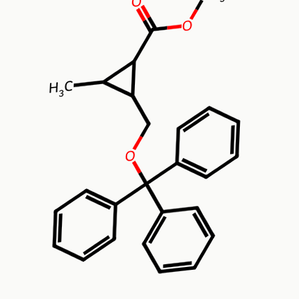 COC(=O)C1C(C)C1COC(c1ccccc1)(c1ccccc1)c1ccccc1